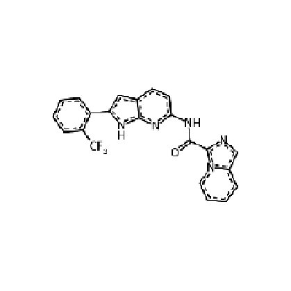 O=C(Nc1ccc2cc(-c3ccccc3C(F)(F)F)[nH]c2n1)c1ncc2ccccn12